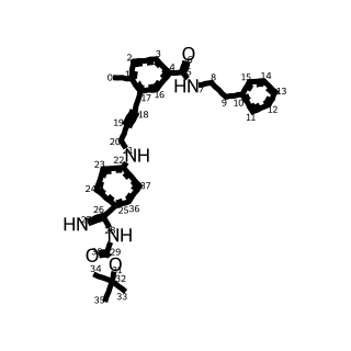 Cc1ccc(C(=O)NCCc2ccccc2)cc1C#CCNc1ccc(C(=N)NC(=O)OC(C)(C)C)cc1